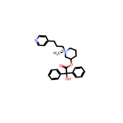 C[N@@+]1(CCCc2ccncc2)CCCC(OC(=O)C(O)(c2ccccc2)c2ccccc2)C1